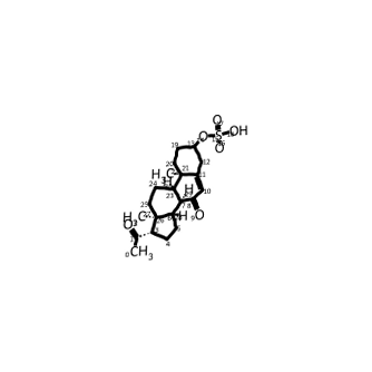 CC(=O)[C@H]1CC[C@H]2[C@@H]3C(=O)C=C4CC(OS(=O)(=O)O)CC[C@]4(C)[C@H]3CC[C@]12C